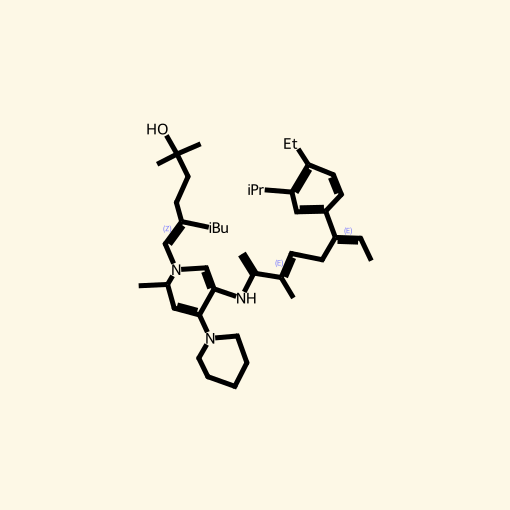 C=C(NC1=CN(/C=C(/CCC(C)(C)O)C(C)CC)C(C)C=C1N1CCCCC1)/C(C)=C/C/C(=C\C)c1ccc(CC)c(C(C)C)c1